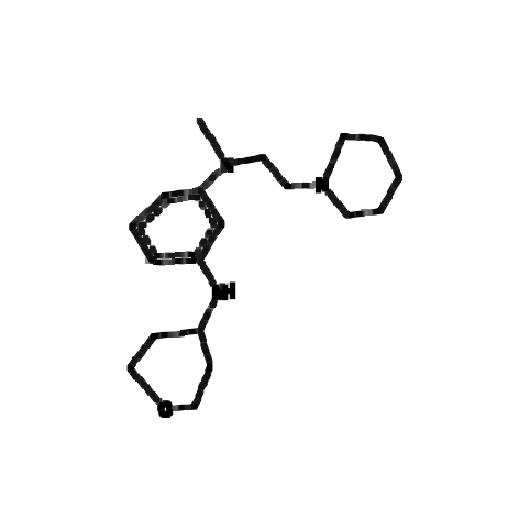 CN(CCN1CCCCC1)c1cc[c]c(NC2CCOCC2)c1